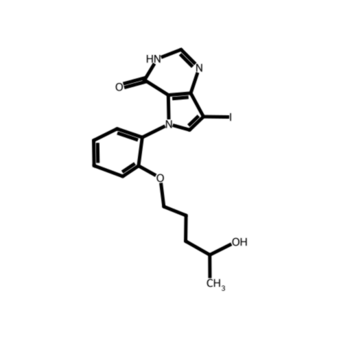 CC(O)CCCOc1ccccc1-n1cc(I)c2nc[nH]c(=O)c21